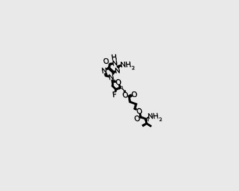 CC(C)[C@H](N)C(=O)OCCCC(=O)OC[C@H]1O[C@@H](n2cnc3c(=O)[nH]c(N)nc32)CC1F